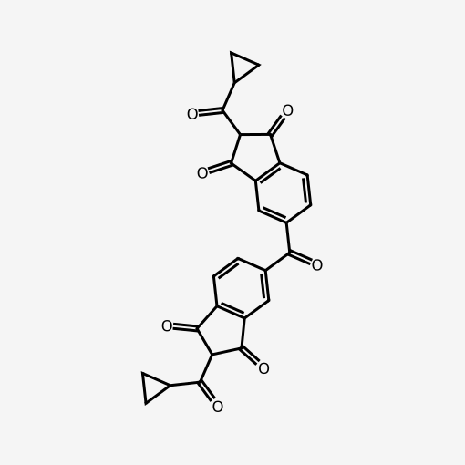 O=C(c1ccc2c(c1)C(=O)C(C(=O)C1CC1)C2=O)c1ccc2c(c1)C(=O)C(C(=O)C1CC1)C2=O